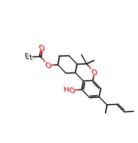 CC=CC(C)c1cc(O)c2c(c1)OC(C)(C)C1CCC(OC(=O)CC)CC21